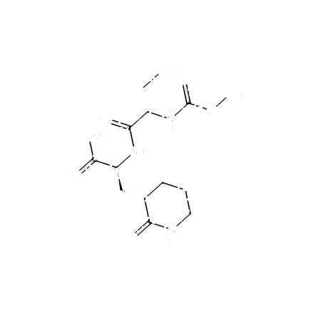 COC(=O)[C@H](C[C@@H]1CCCNC1=O)NC(=O)[C@H](CC(C)C)NC(=O)OC(C)(C)C